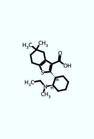 CCN(C)[C@@H]1CCCC[C@H]1c1sc2c(c1C(=O)O)CC(C)(C)CC2